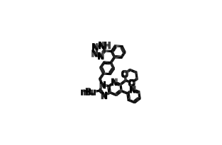 CCCCc1nc2cc(-c3ccccn3)c(C3OCCCO3)nc2n1Cc1ccc(-c2ccccc2-c2nnn[nH]2)cc1